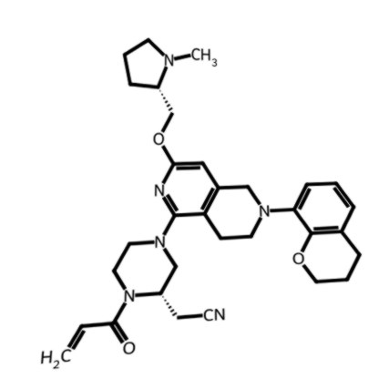 C=CC(=O)N1CCN(c2nc(OC[C@@H]3CCCN3C)cc3c2CCN(c2cccc4c2OCCC4)C3)C[C@@H]1CC#N